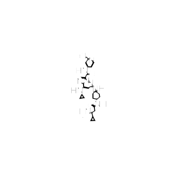 NC(CC(=O)N[C@H]1CC[C@H](Nc2cc(NC3CC3)c3ncc(C(=O)Nc4ccnc(Cl)c4)n3n2)CC1)C1CC1